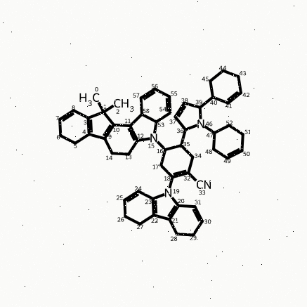 CC1(C)C2=C(CCC=C2)C2=C1C1=C(CC2)N(C2CC(n3c4c(c5c3C=CCC5)CCC=C4)=C(C#N)CC2C2C=CC(C3C=CCCC3)N2C2CC=CCC2)C2C=CC=CC12